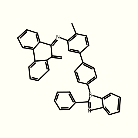 C=C1/C(=N\c2cc(-c3ccc(-n4c(-c5ccccc5)nc5ccccc54)cc3)ccc2C)c2ccccc2-c2ccccc21